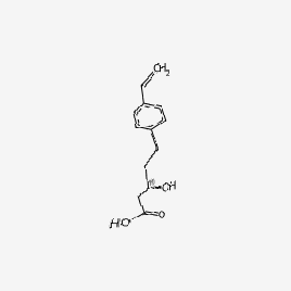 C=Cc1ccc(CC[C@@H](O)CC(=O)O)cc1